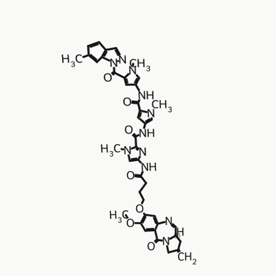 C=C1C[C@H]2C=Nc3cc(OCCCC(=O)Nc4cn(C)c(C(=O)Nc5cc(C(=O)Nc6cc(C(=O)n7ncc8ccc(C)cc87)n(C)c6)n(C)c5)n4)c(OC)cc3C(=O)N2C1